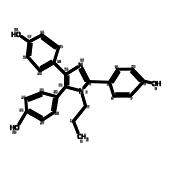 CCCn1c(-c2ccc(O)cc2)nc(-c2ccc(O)cc2)c1-c1ccc(O)cc1